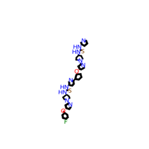 Fc1ccc(Oc2ccnc(N3CCC(NC(=S)Nc4ccc(-c5cccc(Oc6ccnc(N7CCC(NC(=S)Nc8cccnc8)CC7)c6)c5)nc4)CC3)c2)cc1